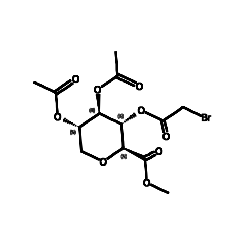 COC(=O)[C@H]1OC[C@H](OC(C)=O)[C@@H](OC(C)=O)[C@@H]1OC(=O)CBr